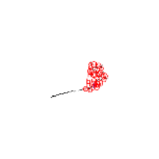 CCCCCCCCCCCCCCCCCCOCC(COP(=O)(O)OC(O)[C@H]1O[C@@H](OC(O)[C@H]2O[C@@H](OC(C)=O)[C@H](OC(C)=O)[C@@H](OC(C)=O)[C@@H]2OC(C)=O)[C@H](OC(C)=O)[C@@H](OC(C)=O)[C@@H]1OC(C)=O)OC